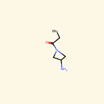 CC(C)(C)CC(=O)N1CC(N)C1